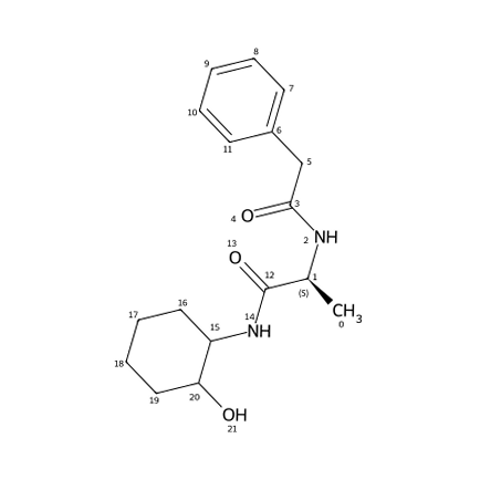 C[C@H](NC(=O)Cc1ccccc1)C(=O)NC1CCCCC1O